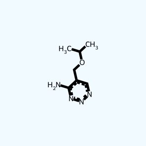 CC(C)OCc1cnnnc1N